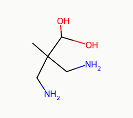 CC(CN)(CN)C(O)O